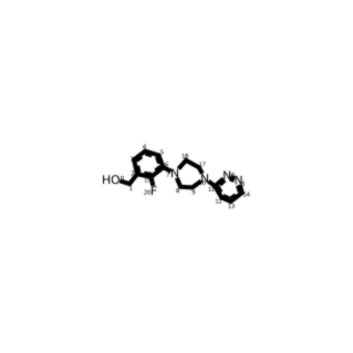 OCc1cccc(N2CCN(c3cccnn3)CC2)c1F